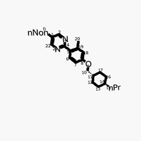 CCCCCCCCCc1cnc(-c2ccc(OC[C@H]3CC[C@H](CCC)CC3)cc2C)nc1